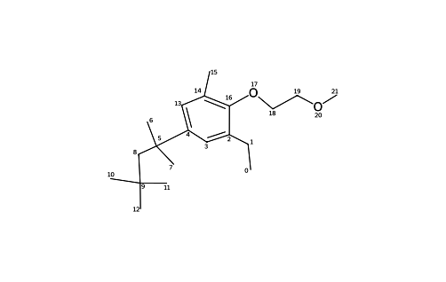 CCc1cc(C(C)(C)CC(C)(C)C)cc(C)c1OCCOC